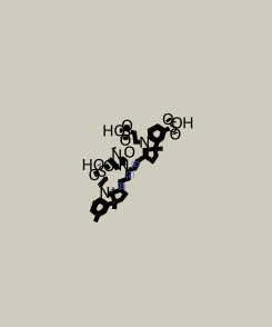 Cc1ccc2c(c1)C1(C)CC\C(=C/C=C(/C=C/C3=C4N(CCS(=O)(=O)O)c5ccc(S(=O)(=O)O)cc5C4(C)CC3)n3ccn(C)c3=O)C1=[N+]2CCS(=O)(=O)O